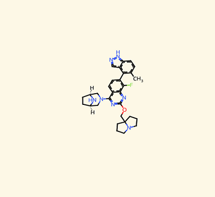 Cc1ccc2[nH]ncc2c1-c1ccc2c(N3C[C@H]4CC[C@@H](C3)N4)nc(OCC34CCCN3CCC4)nc2c1F